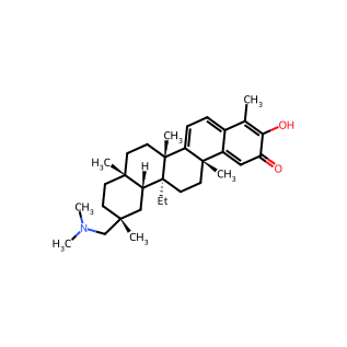 CC[C@@]12CC[C@@]3(C)C4=CC(=O)C(O)=C(C)C4=CC=C3[C@@]1(C)CC[C@@]1(C)CC[C@@](C)(CN(C)C)C[C@H]12